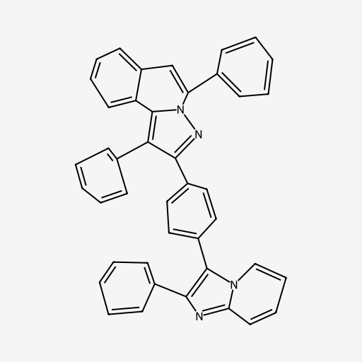 c1ccc(-c2nc3ccccn3c2-c2ccc(-c3nn4c(-c5ccccc5)cc5ccccc5c4c3-c3ccccc3)cc2)cc1